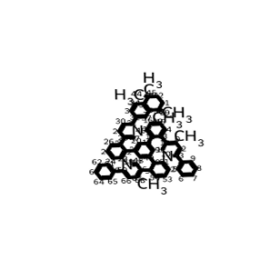 Cc1cc(-c2ccccc2)ncc1-c1ccccc1-c1cc(-c2ccccc2-c2ccc(-c3ccc4c(c3)C(C)(C)CCC4(C)C)nc2)cc(C2C=CC=CC2c2cnc(-c3ccccc3)cc2C)c1